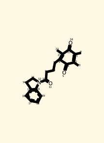 CC1=C(C)C(=O)C(CCCC(=O)N2CCc3ccccc32)=C(C)C1=O